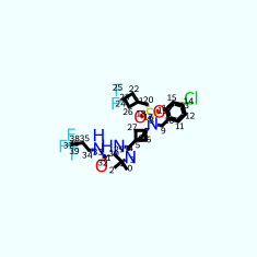 CC1(C)N=C(C23CC(N(Cc4ccc(Cl)cc4)S(=O)(=O)CC4CC(F)(F)C4)(C2)C3)N[C@H]1C(=O)NCCC(F)(F)F